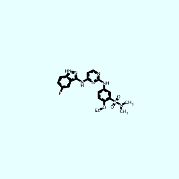 CCOc1ccc(Nc2nccc(Nc3n[nH]c4ccc(F)cc34)n2)cc1S(=O)(=O)N(C)C